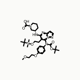 COCCOc1ccc(N(C(=O)OC(C)(C)C)c2c(CCO[Si](C)(C)C(C)(C)C)c(N[C@H]3CCCN(C(=O)O)C3)nc3ccnn23)cc1